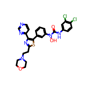 O=C(Nc1ccc(Cl)c(Cl)c1)N(O)c1cccc(-c2sc(CCN3CCOCC3)nc2-c2ccncn2)c1